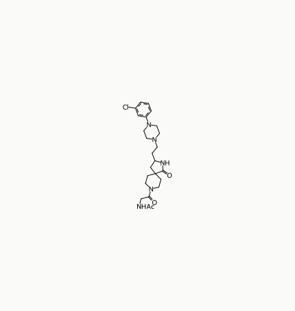 CC(=O)NCC(=O)N1CCC2(CC1)CC(CCN1CCN(c3cccc(Cl)c3)CC1)NC2=O